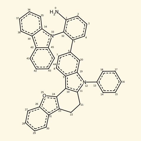 Nc1cccc(-c2ccc3c4c(n(-c5ccccc5)c3c2)CCc2c-4oc3ccccc23)c1-n1c2ccccc2c2ccccc21